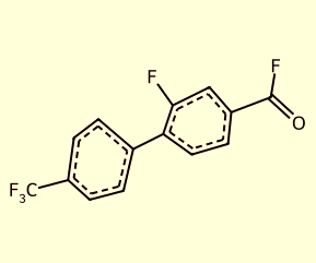 O=C(F)c1ccc(-c2ccc(C(F)(F)F)cc2)c(F)c1